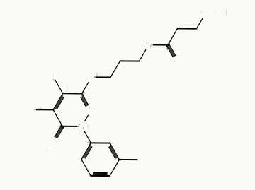 Cc1cccc(-n2nc(OCCCNC(=O)CCC(=O)O)c(Cl)c(Cl)c2=O)c1